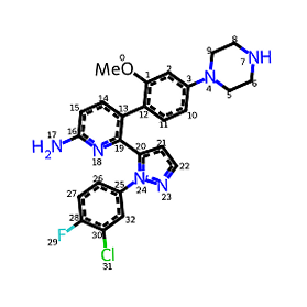 COc1cc(N2CCNCC2)ccc1-c1ccc(N)nc1-c1ccnn1-c1ccc(F)c(Cl)c1